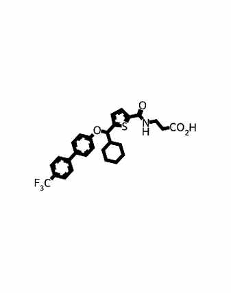 O=C(O)CCNC(=O)c1ccc(C(Oc2ccc(-c3ccc(C(F)(F)F)cc3)cc2)C2CCCCC2)s1